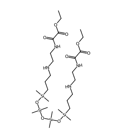 CCOC(=O)C(=O)NCCNCCC[Si](C)(C)O[Si](C)(C)O[Si](C)(C)O[Si](C)(C)CCCNCCNC(=O)C(=O)OCC